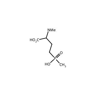 CNC(CCP(C)(=O)O)C(=O)O